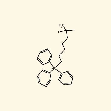 FC(F)(F)C(F)(F)CCCCC[PH](c1ccccc1)(c1ccccc1)c1ccccc1